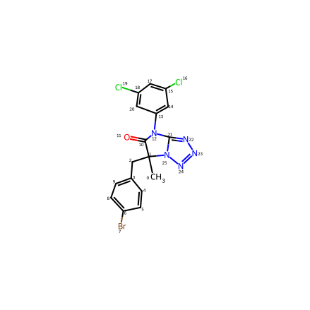 CC1(Cc2ccc(Br)cc2)C(=O)N(c2cc(Cl)cc(Cl)c2)c2nnnn21